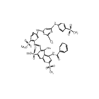 COS(=O)(=O)c1ccc(Nc2nc(Cl)nc(Nc3ccc(S(C)(=O)=O)cc3)n2)cc1/N=N/c1c(S(=O)(=O)OC)cc2cc(S(C)(=O)=O)cc(NC(=O)c3ccccc3)c2c1O